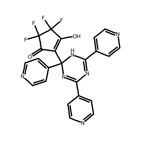 O=C1C(C2(c3ccncc3)N=C(c3ccncc3)N=C(c3ccncc3)N2)=C(O)C(F)(F)C1(F)F